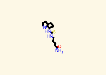 NC(=O)C=CCCNC(=S)Nc1cccc2cccnc12